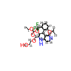 CCOC(=O)OC1=C(COCCO)Nc2ccnc(OC(C)C)c2C1c1ccccc1C(F)(F)F